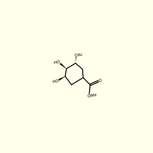 COC(=O)C1C[C@@H](O)[C@@H](O)[C@H](OC(C)=O)C1